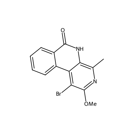 COc1nc(C)c2[nH]c(=O)c3ccccc3c2c1Br